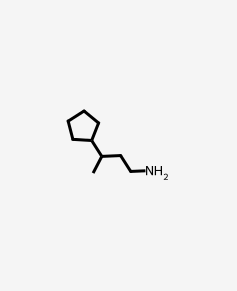 CC(CCN)C1CCCC1